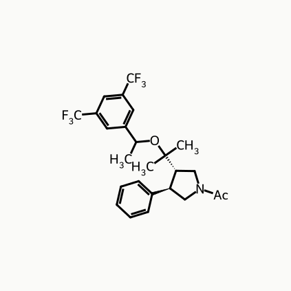 CC(=O)N1C[C@@H](C(C)(C)OC(C)c2cc(C(F)(F)F)cc(C(F)(F)F)c2)[C@H](c2ccccc2)C1